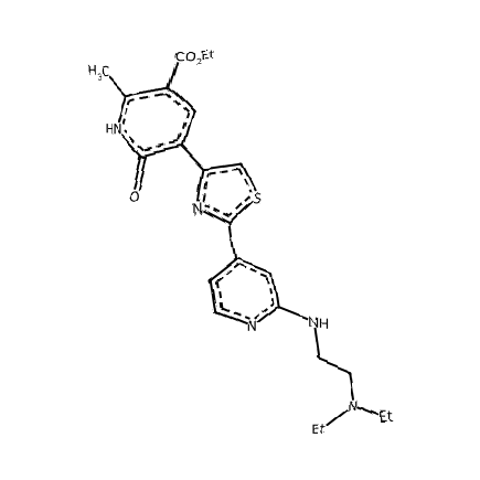 CCOC(=O)c1cc(-c2csc(-c3ccnc(NCCN(CC)CC)c3)n2)c(=O)[nH]c1C